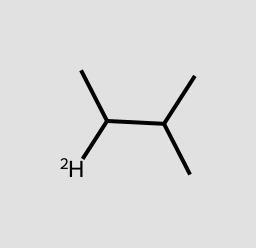 [2H]C(C)C(C)C